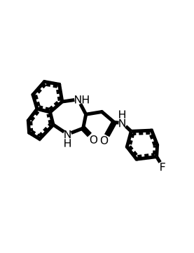 O=C(CC1Nc2cccc3cccc(c23)NC1=O)Nc1ccc(F)cc1